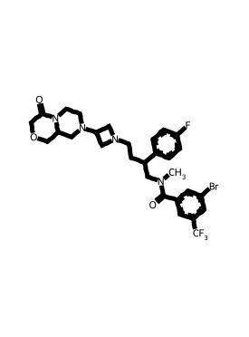 CN(CC(CCN1CC(N2CCN3C(=O)COCC3C2)C1)c1ccc(F)cc1)C(=O)c1cc(Br)cc(C(F)(F)F)c1